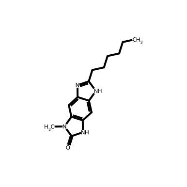 CCCCCCc1nc2cc3c(cc2[nH]1)[nH]c(=O)n3C